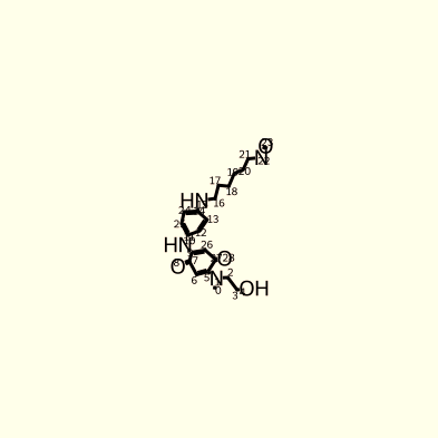 CN(CCO)C1=CC(=O)C(Nc2ccc(NCCCCCCN=O)cc2)=CC1=O